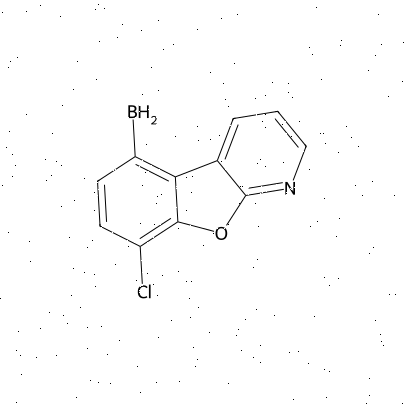 Bc1ccc(Cl)c2oc3ncccc3c12